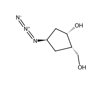 [N-]=[N+]=N[C@@H]1C[C@@H](CO)[C@@H](O)C1